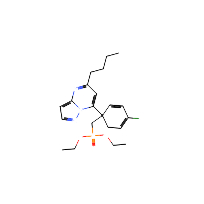 CCCCc1cc(C2(CP(=O)(OCC)OCC)C=CC(Cl)=CC2)n2nccc2n1